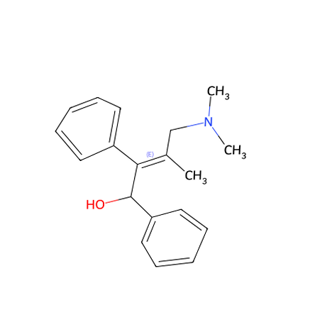 C/C(CN(C)C)=C(/c1ccccc1)C(O)c1ccccc1